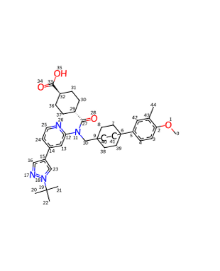 COc1ccc(C23CCC(CN(c4cc(-c5cnn(C(C)(C)C)c5)ccn4)C(=O)[C@H]4CC[C@H](C(=O)O)CC4)(CC2)CC3)cc1C